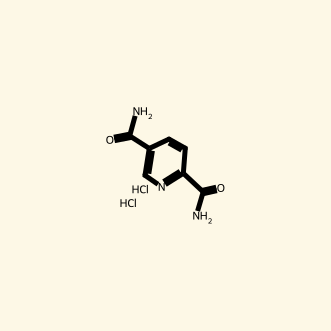 Cl.Cl.NC(=O)c1ccc(C(N)=O)nc1